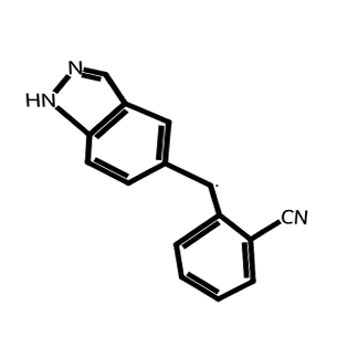 N#Cc1ccccc1[CH]c1ccc2[nH]ncc2c1